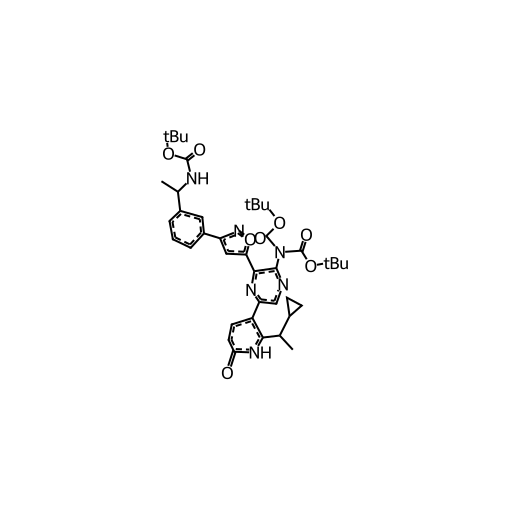 CC(NC(=O)OC(C)(C)C)c1cccc(-c2cc(-c3nc(-c4ccc(=O)[nH]c4C(C)C4CC4)cnc3N(C(=O)OC(C)(C)C)C(=O)OC(C)(C)C)on2)c1